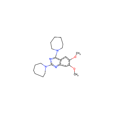 COc1cc2nc(N3CCCCCC3)nc(N3CCCCCC3)c2cc1OC